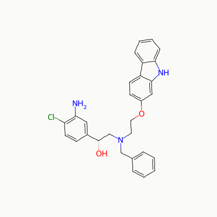 Nc1cc([C@@H](O)CN(CCOc2ccc3c(c2)[nH]c2ccccc23)Cc2ccccc2)ccc1Cl